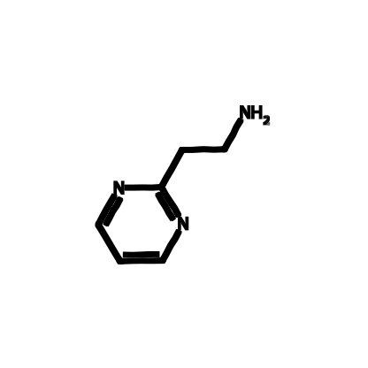 NCCc1ncccn1